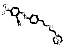 N#Cc1cc([N+](=O)[O-])ccc1N=Nc1ccc(CCNCC[N+]23CCN(CC2)CC3)cc1